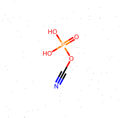 N#COP(=O)(O)O